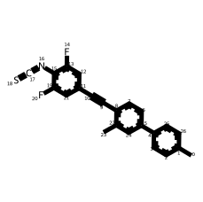 Cc1ccc(-c2ccc(C#Cc3cc(F)c(N=C=S)c(F)c3)c(C)c2)cc1